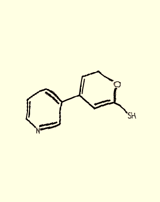 SC1=CC(c2cccnc2)=CCO1